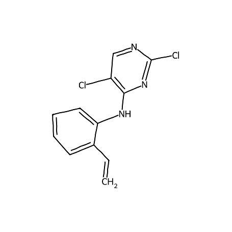 C=Cc1ccccc1Nc1nc(Cl)ncc1Cl